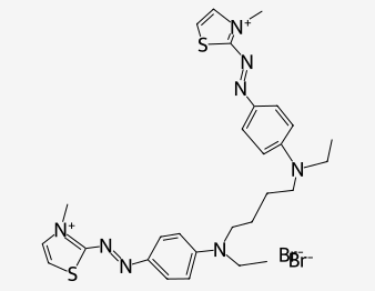 CCN(CCCCN(CC)c1ccc(N=Nc2scc[n+]2C)cc1)c1ccc(N=Nc2scc[n+]2C)cc1.[Br-].[Br-]